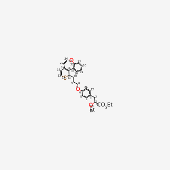 CCOC(=O)C(Cc1ccc(OCCCC2SC=CC3=C2c2ccccc2OC=C3)cc1)OCC